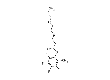 Cc1c(F)c(F)c(F)c(F)c1OC(=O)CCOCCOCCN